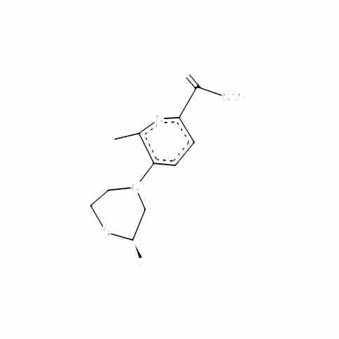 CNC(=O)c1ccc(N2CCN[C@H](C)C2)c(F)n1